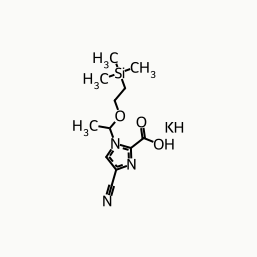 CC(OCC[Si](C)(C)C)n1cc(C#N)nc1C(=O)O.[KH]